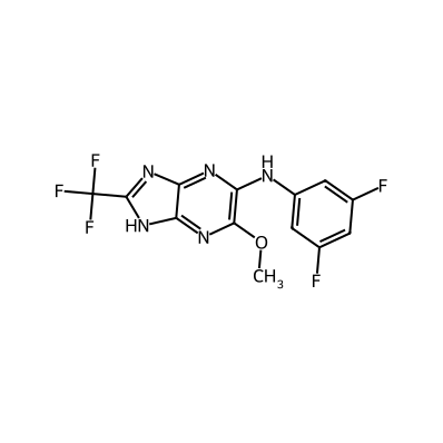 COc1nc2[nH]c(C(F)(F)F)nc2nc1Nc1cc(F)cc(F)c1